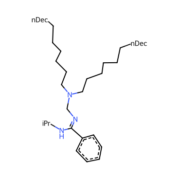 CCCCCCCCCCCCCCCCN(CCCCCCCCCCCCCCCC)CN=C(NC(C)C)c1ccccc1